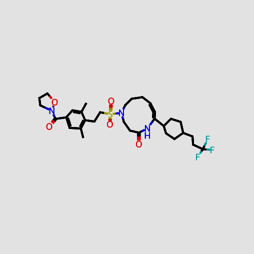 Cc1cc(C(=O)N2CCCO2)cc(C)c1CCS(=O)(=O)N1CCCC=C=C(C2CCC(CCC(F)(F)F)CC2)NC(=O)CC1